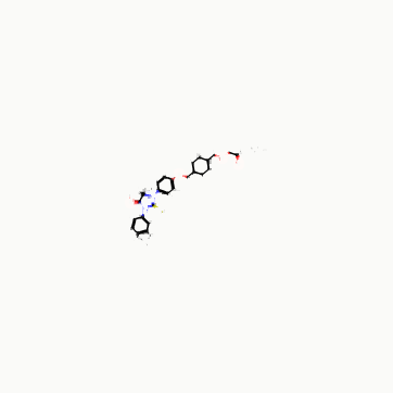 COC(=O)COCC1CCC(COc2ccc(N3C(=S)N(c4ccc(C#N)c(C(F)(F)F)c4)C(=O)C3(C)C)cc2)CC1